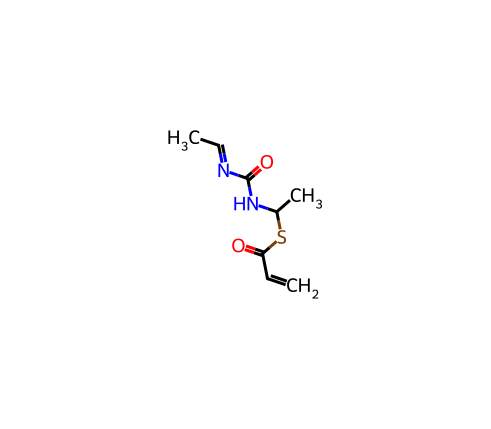 C=CC(=O)SC(C)NC(=O)N=CC